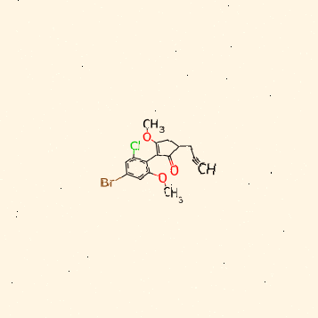 C#CCC1CC(OC)=C(c2c(Cl)cc(Br)cc2OC)C1=O